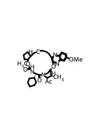 COc1ccc2nc3c(nc2c1)O[C@H]1CN(C(=O)[C@H](C2CCCCC2)NC(=O)O[C@]2(C)CCC[C@H]2CCCCC3)[C@H](C(C)=O)[C@@H]1C